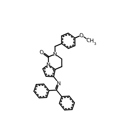 COc1ccc(CN2CCc3c(N=C(c4ccccc4)c4ccccc4)ccn3C2=O)cc1